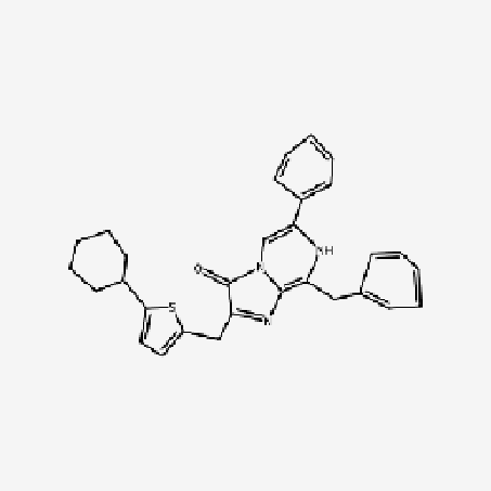 O=c1c(Cc2ccc(C3CCCCC3)s2)nc2c(Cc3ccccc3)[nH]c(-c3ccccc3)cn1-2